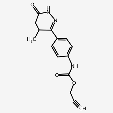 C#CCOC(=O)Nc1ccc(C2=NNC(=O)CC2C)cc1